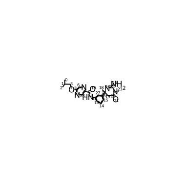 CC(C)COc1cnc(C(=O)Nc2cccc(C3(C)CC(=O)N(C)C(N)=N3)c2)cn1